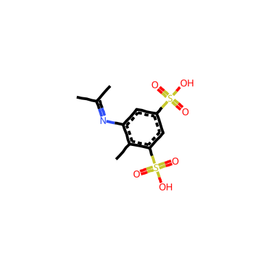 CC(C)=Nc1cc(S(=O)(=O)O)cc(S(=O)(=O)O)c1C